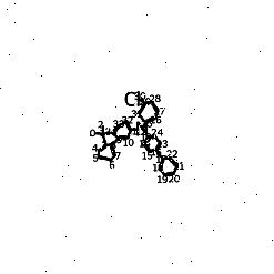 CC1(C)c2ccccc2-c2cc(N(c3ccc(-c4ccccc4)cc3)c3cccc(Cl)c3)ccc21